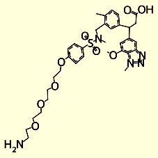 COc1cc(C(CC(=O)O)c2ccc(C)c(CN(C)S(=O)(=O)c3ccc(OCCOCCOCCOCCN)cc3)c2)cc2nnn(C)c12